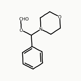 O=COC(c1ccccc1)N1CCOCC1